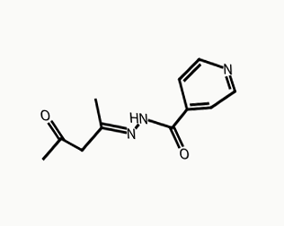 CC(=O)C/C(C)=N/NC(=O)c1ccncc1